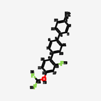 CCc1ccc(-c2ccc(-c3ccc(OC(F)F)cc3F)cc2)cc1